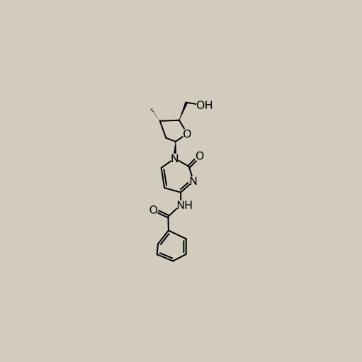 C[C@H]1C[C@H](n2ccc(NC(=O)c3ccccc3)nc2=O)O[C@@H]1CO